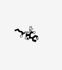 CCCCC(=O)Nc1onc(-c2ccncc2)c1C(N)=O